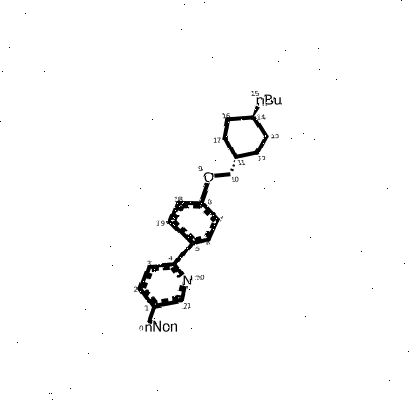 CCCCCCCCCc1ccc(-c2ccc(OC[C@H]3CC[C@H](CCCC)CC3)cc2)nc1